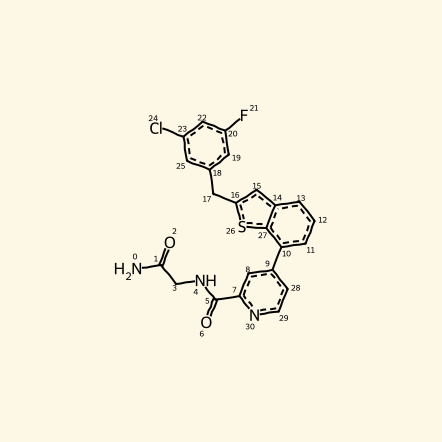 NC(=O)CNC(=O)c1cc(-c2cccc3cc(Cc4cc(F)cc(Cl)c4)sc23)ccn1